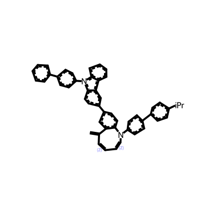 C=C1/C=C\C=C/N(c2ccc(-c3ccc(C(C)C)cc3)cc2)c2ccc(-c3ccc4c(c3)c3ccccc3n4-c3ccc(-c4ccccc4)cc3)cc21